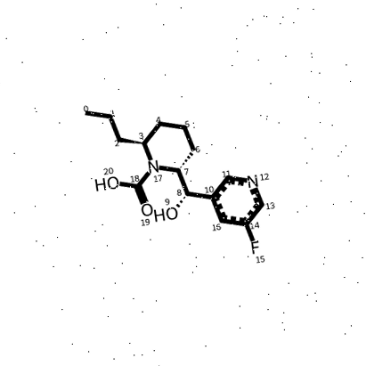 CCC[C@H]1CCC[C@H]([C@@H](O)c2cncc(F)c2)N1C(=O)O